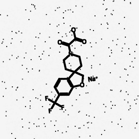 O=C([O-])C(=O)N1CCC2(CC1)COc1cc(C(F)(F)F)ccc12.[Na+]